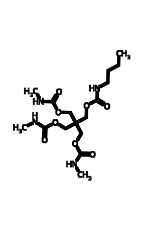 CCCCNC(=O)OCC(COC(=O)NC)(COC(=O)NC)COC(=O)NC